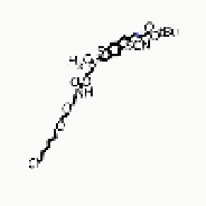 CN(CCOC(=O)NCCOCCOCCCCCCCl)c1cc2cc3sc(/C=C(\C#N)C(=O)OC(C)(C)C)cc3cc2s1